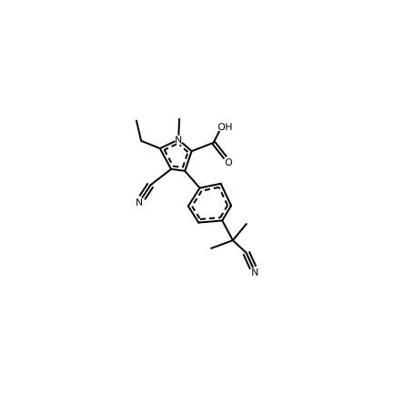 CCc1c(C#N)c(-c2ccc(C(C)(C)C#N)cc2)c(C(=O)O)n1C